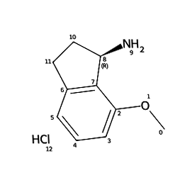 COc1cccc2c1[C@H](N)CC2.Cl